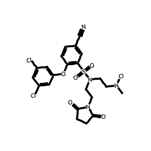 CN(Cl)CCN(CCN1C(=O)CCC1=O)S(=O)(=O)c1cc(C#N)ccc1Oc1cc(Cl)cc(Cl)c1